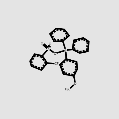 CC(C)(C)Oc1ccc(S(OS(=O)(=O)c2ccccc2C(F)(F)F)(c2ccccc2)c2ccccc2)cc1